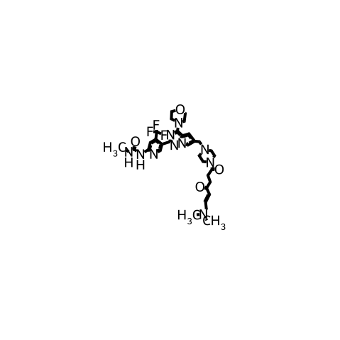 CNC(=O)Nc1cc(C(F)(F)F)c(-c2nc(N3CCOCC3)c3cc(CN4CCN(C(=O)CCC(=O)/C=C/CN(C)C)CC4)cn3n2)cn1